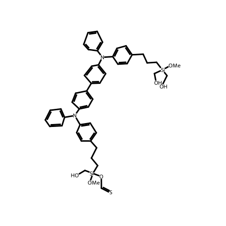 CO[Si](CO)(CO)CCCc1ccc(N(c2ccccc2)c2ccc(-c3ccc(N(c4ccccc4)c4ccc(CCC[Si](CO)(OC)OC=S)cc4)cc3)cc2)cc1